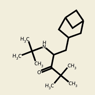 CC(C)(C)NC(CC1CC2CC(C2)C1)C(=O)C(C)(C)C